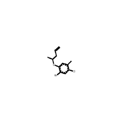 C=CCC(C)Oc1cc(C)c(Cl)cc1Br